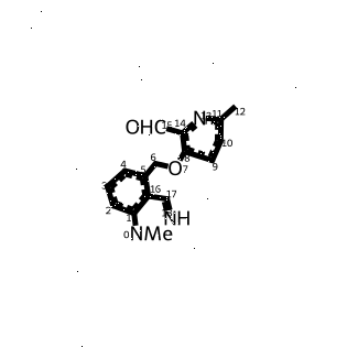 CNc1cccc(COc2ccc(C)nc2C=O)c1C=N